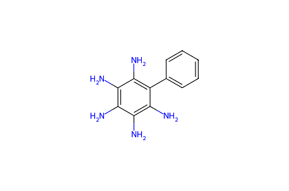 Nc1c(N)c(N)c(-c2ccccc2)c(N)c1N